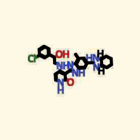 Cc1cc(C2=N[C@@H]3CCCC[C@@H]3N2)cc2[nH]c(-c3c(NCC(O)c4cccc(Cl)c4)cc[nH]c3=O)nc12